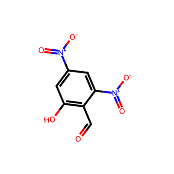 O=Cc1c(O)cc([N+](=O)[O-])cc1[N+](=O)[O-]